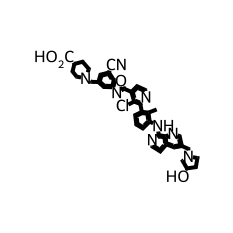 Cc1c(Nc2nccc3cc(CN4CC[C@@H](O)C4)cnc23)cccc1-c1nccc(-c2nc3cc(CN4CCC(C(=O)O)CC4)cc(C#N)c3o2)c1Cl